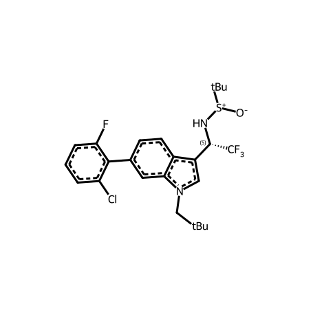 CC(C)(C)Cn1cc([C@H](N[S+]([O-])C(C)(C)C)C(F)(F)F)c2ccc(-c3c(F)cccc3Cl)cc21